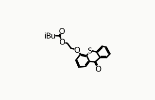 CCC(C)C(=O)OCCOc1cccc2c(=O)c3ccccc3sc12